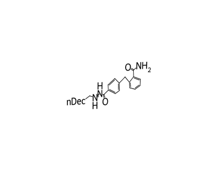 CCCCCCCCCCCNNC(=O)c1ccc(Cc2ccccc2C(N)=O)cc1